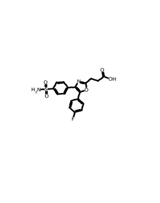 NS(=O)(=O)c1ccc(-c2nc(CCC(=O)O)oc2-c2ccc(F)cc2)cc1